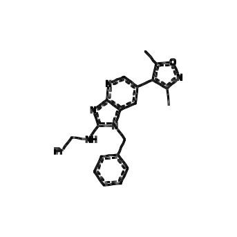 Cc1noc(C)c1-c1cnc2nc(NCC(C)C)n(Cc3ccccc3)c2c1